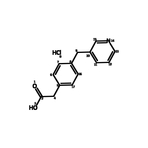 Cl.O=C(O)Cc1ccc(Cc2cccnc2)cc1